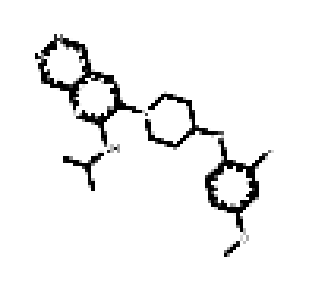 COc1ccc(OC2CCN(c3nc4cnncc4nc3NC(C)C)CC2)c(F)c1